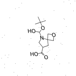 CC(C)(C)OC(O)N1CC(C(=O)O)CC12COC2